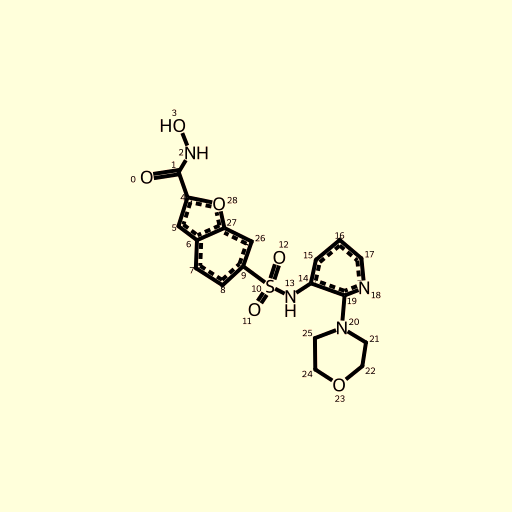 O=C(NO)c1cc2ccc(S(=O)(=O)Nc3cccnc3N3CCOCC3)cc2o1